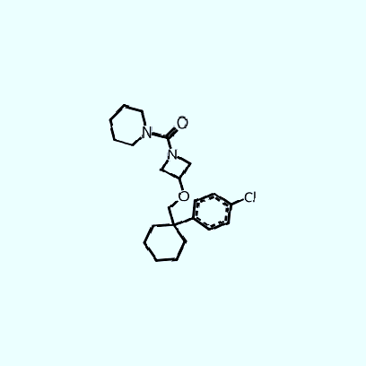 O=C(N1CCCCC1)N1CC(OCC2(c3ccc(Cl)cc3)CCCCC2)C1